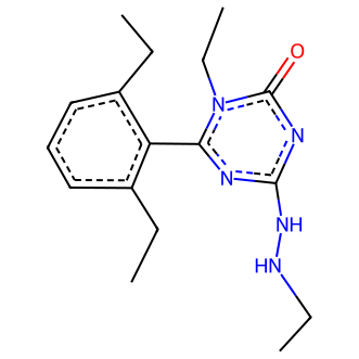 CCNNc1nc(-c2c(CC)cccc2CC)n(CC)c(=O)n1